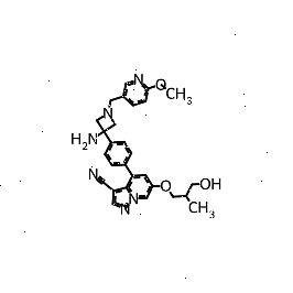 COc1ccc(CN2CC(N)(c3ccc(-c4cc(OCC(C)CO)cn5ncc(C#N)c45)cc3)C2)cn1